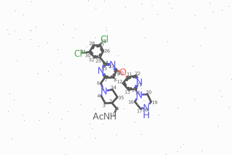 CC(=O)NCC1CCN(Cc2cc(Oc3ccc(N4CCNCC4)nc3)nc(-c3cc(Cl)cc(Cl)c3)n2)CC1